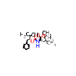 COC(=O)[C@H](CC(C)C)NC(=O)OC(Cc1ccccc1)C(C)C